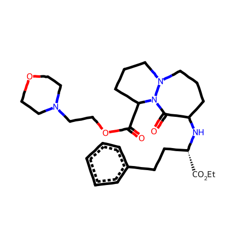 CCOC(=O)[C@H](CCc1ccccc1)NC1CCCN2CCCC(C(=O)OCCN3CCOCC3)N2C1=O